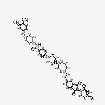 N#Cc1ccc(O[C@H]2CC[C@H](NC(=O)c3cnc(N4CCN(C5CCCC(CCc6ccc7c(c6)C(=O)N(C6CCC(=O)NC6=O)C7=O)CC5)CC4)nc3)CC2)cc1Cl